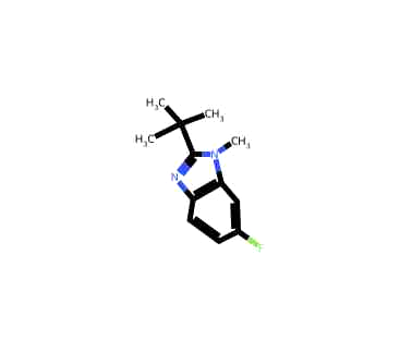 Cn1c(C(C)(C)C)nc2ccc(F)cc21